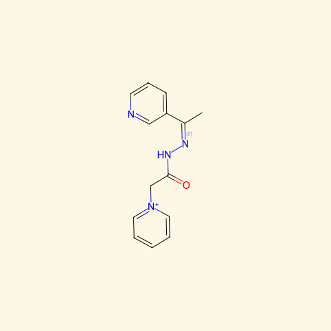 C/C(=N/NC(=O)C[n+]1ccccc1)c1cccnc1